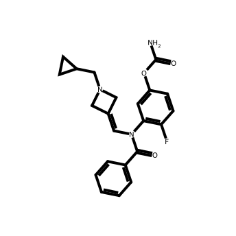 NC(=O)Oc1ccc(F)c(N(C=C2CN(CC3CC3)C2)C(=O)c2ccccc2)c1